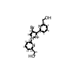 OCc1cccc(-c2nn(-c3cccc(CO)n3)cc2Br)n1